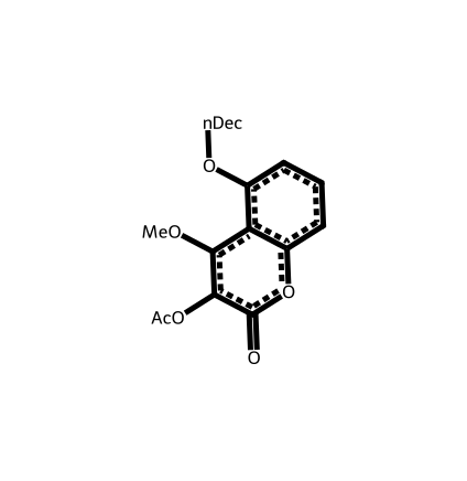 CCCCCCCCCCOc1cccc2oc(=O)c(OC(C)=O)c(OC)c12